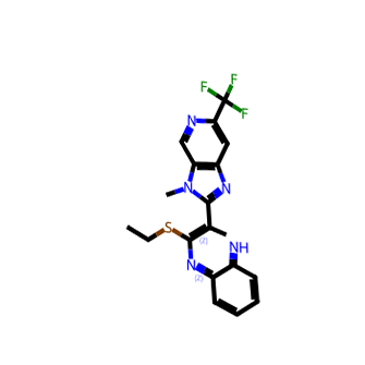 CCSC(/N=C1/C=CC=CC1=N)=C(/C)c1nc2cc(C(F)(F)F)ncc2n1C